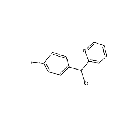 CCC(c1ccc(F)cc1)c1ccccn1